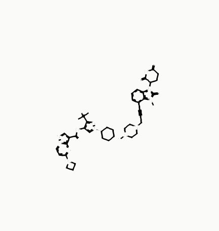 Cn1c(=O)n(C2CCC(=O)NC2=O)c2cccc(C#CCN3CCN(C[C@H]4CC[C@H](n5cc(NC(=O)c6cnn7ccc(N8CCC8)nc67)c(C(C)(C)O)n5)CC4)CC3)c21